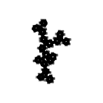 c1ccc(-n2c3ccccc3c3cc(-c4ccc5c(c4)c4cc(-c6ccc7c(c6)c6ccccc6n7-c6ccccc6)ccc4n5-c4cccc(-c5nc6c(c(-n7c8ccccc8c8cc(-c9ccc%10c(c9)c9ccccc9n%10-c9ccccc9)ccc87)n5)-c5cccc7cccc-6c57)c4)ccc32)cc1